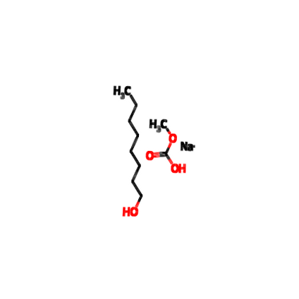 CCCCCCCCO.COC(=O)O.[Na]